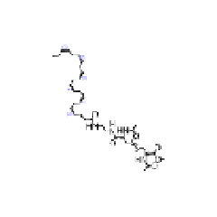 CC/C=C\C/C=C\C/C=C\C/C=C\C/C=C\C/C=C\CCC(=O)NCCNC(=O)[C@H](CSSC[C@H](NC(C)=O)C(=O)OC)NC(C)=O